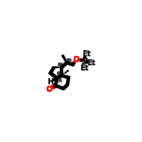 CC[Si](CC)(CC)OC[C@H](C)[C@H]1CC[C@H]2C(=O)CCC[C@]12C